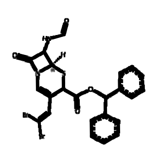 O=CNC1C(=O)N2C=C(C=C(Br)Br)C(C(=O)OC(c3ccccc3)c3ccccc3)S[C@H]12